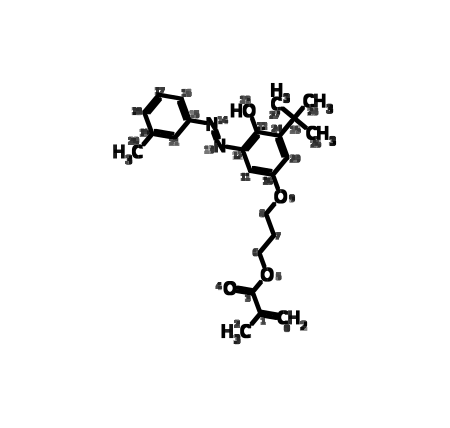 C=C(C)C(=O)OCCCOc1cc(N=Nc2cccc(C)c2)c(O)c(C(C)(C)C)c1